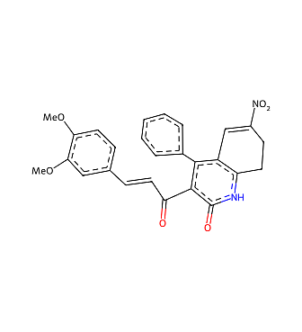 COc1ccc(C=CC(=O)c2c(-c3ccccc3)c3c([nH]c2=O)CCC([N+](=O)[O-])=C3)cc1OC